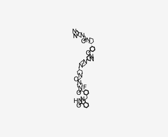 O=C(CN1CCC(CN2CCN(c3cnnc(Oc4cccc([C@H]5CCCN(C(=O)CN6Cc7cncnc7C6)C5)c4)c3)CC2)CC1)N1CCN(C(=O)c2cc(Cc3n[nH]c(=O)c4ccccc34)ccc2F)CC1